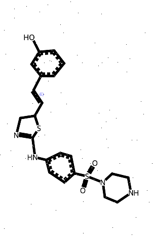 O=S(=O)(c1ccc(NC2=NCC(/C=C/c3cccc(O)c3)S2)cc1)N1CCNCC1